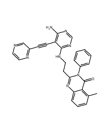 Cc1cccc2nc(CCNc3ncnc(N)c3C#Cc3cnccn3)n(-c3ccccc3)c(=O)c12